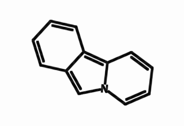 c1ccc2c(c1)cn1ccccc21